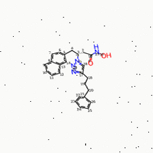 O=C(C[C@@H](Cc1ccc2ccccc2c1)n1cc(CCCc2ccccc2)nn1)NO